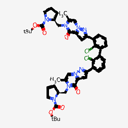 Cc1cn2nc(-c3cccc(-c4cccc(-c5cc6c(=O)n(C[C@@H]7CCCN7C(=O)OC(C)(C)C)c(C)cn6n5)c4Cl)c3Cl)cc2c(=O)n1C[C@@H]1CCCN1C(=O)OC(C)(C)C